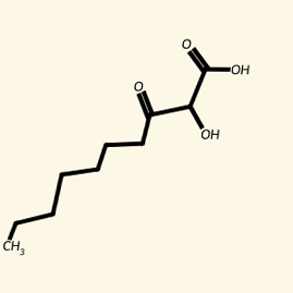 CCCCCCCC(=O)C(O)C(=O)O